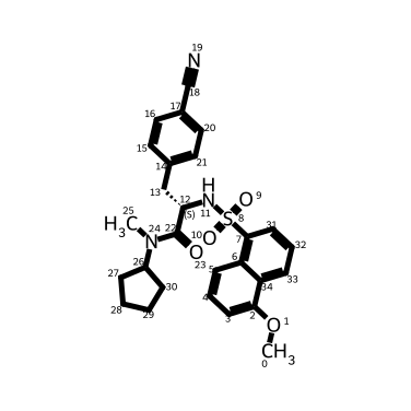 COc1cccc2c(S(=O)(=O)N[C@@H](Cc3ccc(C#N)cc3)C(=O)N(C)C3CCCC3)cccc12